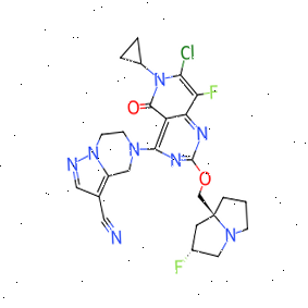 N#Cc1cnn2c1CN(c1nc(OC[C@@]34CCCN3C[C@H](F)C4)nc3c(F)c(Cl)n(C4CC4)c(=O)c13)CC2